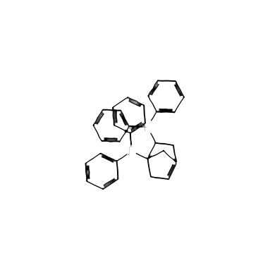 C1=C2CC(P(c3ccccc3)c3ccccc3)C(P(c3ccccc3)c3ccccc3)(C1)C2